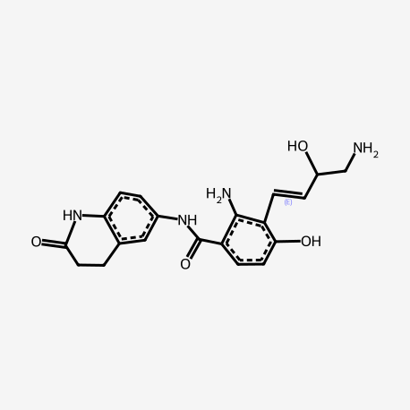 NCC(O)/C=C/c1c(O)ccc(C(=O)Nc2ccc3c(c2)CCC(=O)N3)c1N